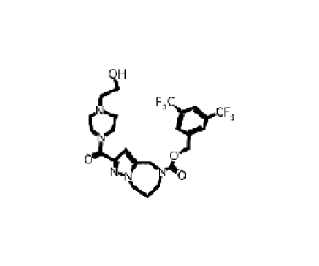 O=C(OCc1cc(C(F)(F)F)cc(C(F)(F)F)c1)N1CCCn2nc(C(=O)N3CCN(CCO)CC3)cc2C1